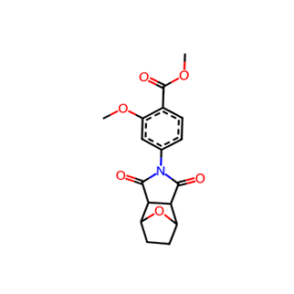 COC(=O)c1ccc(N2C(=O)C3C4CCC(O4)C3C2=O)cc1OC